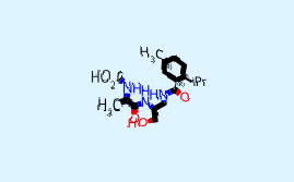 CC(NC(=O)O)C(=O)NC(CO)CNC(=O)[C@@H]1C[C@H](C)CC[C@H]1C(C)C